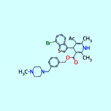 CC(=O)C1=C(C)NC(C)=C(C(=O)OCc2cccc(CN3CCN(C)CC3)c2)C1c1csc2c(Br)cccc12